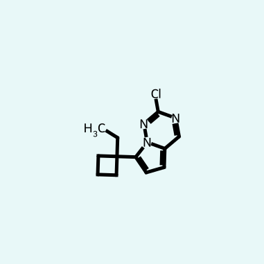 CCC1(c2ccc3cnc(Cl)nn23)CCC1